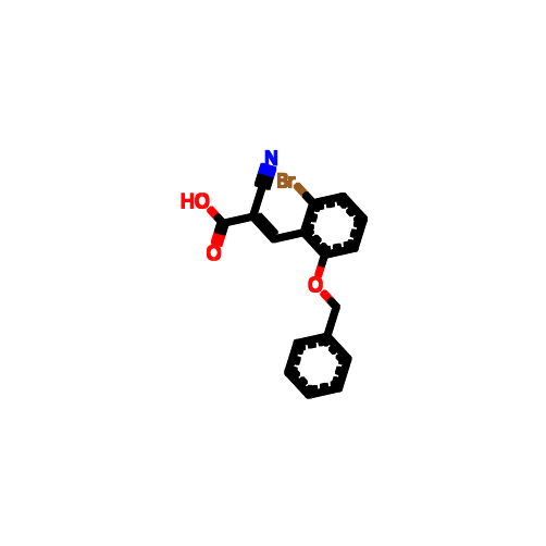 N#CC(=Cc1c(Br)cccc1OCc1ccccc1)C(=O)O